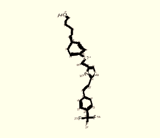 OCCCCc1ccc(OCc2coc(C=Cc3ccc(C(F)(F)F)cc3)n2)cc1